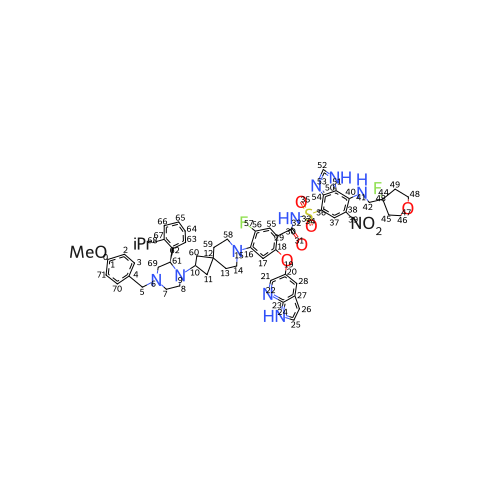 COc1ccc(CN2CCN(C3CC4(CCN(c5cc(Oc6cnc7[nH]ccc7c6)c(C(=O)NS(=O)(=O)c6cc([N+](=O)[O-])c(NCC7(F)CCOCC7)c7[nH]cnc67)cc5F)CC4)C3)[C@H](c3ccccc3C(C)C)C2)cc1